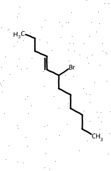 CCC/C=C/C(Br)CCCCCC